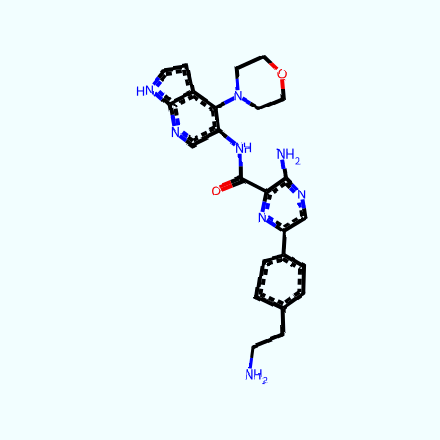 NCCc1ccc(-c2cnc(N)c(C(=O)Nc3cnc4[nH]ccc4c3N3CCOCC3)n2)cc1